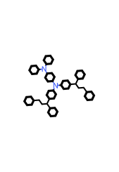 c1ccc(CCC(c2ccccc2)c2ccc(N(c3ccc(C(CCc4ccccc4)c4ccccc4)cc3)c3ccc(N(c4ccccc4)c4ccccc4)cc3)cc2)cc1